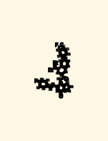 CCN(CC)CCN(Cc1ccc(-c2ccc(C(F)(F)F)cc2)cc1)C(=O)Cn1c(/C=C/c2ccc(F)cc2)nc(=O)c2c1CCC2